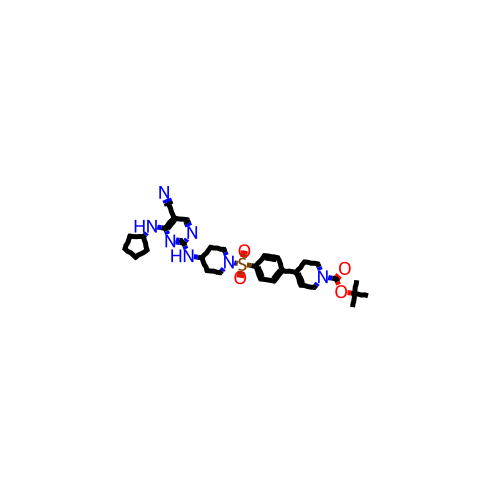 CC(C)(C)OC(=O)N1CC=C(c2ccc(S(=O)(=O)N3CCC(Nc4ncc(C#N)c(NC5CCCC5)n4)CC3)cc2)CC1